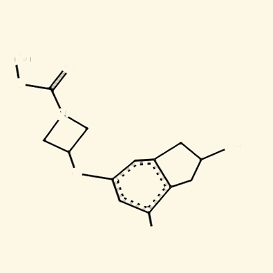 CC(C)(C)OC(=O)N1CC(Oc2cc(F)c3c(c2)CC(C=O)C3)C1